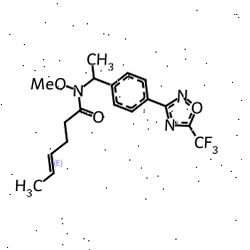 C/C=C/CCC(=O)N(OC)C(C)c1ccc(-c2noc(C(F)(F)F)n2)cc1